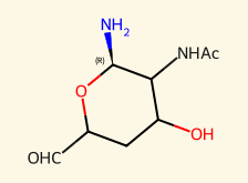 CC(=O)NC1C(O)CC(C=O)O[C@H]1N